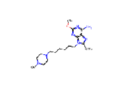 CCCCOc1nc(N)c2nc(OC)n(CCCCCCN3CCN(C(C)(C)C)CC3)c2n1